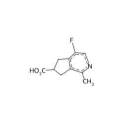 Cc1ncc(F)c2c1CC(C(=O)O)C2